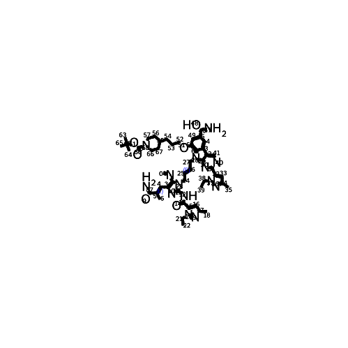 C=Nc1c(/C=C(\C)C(N)=O)nc(NC(=O)c2cc(C)nn2CC)n1C/C=C/Cn1c2nc(-c3cc(C)nn3CC)ncc2c2cc(C(N)O)cc(OCCCC3CCN(C(=O)OC(C)(C)C)CC3)c21